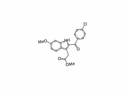 COC(=O)Cc1c(C(=O)c2ccc(Cl)cc2)[nH]c2cc(OC)ccc12